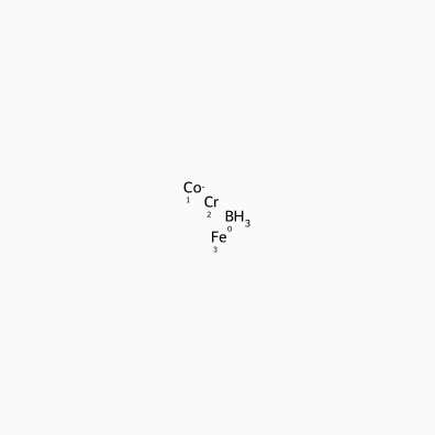 B.[Co].[Cr].[Fe]